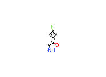 N=CC(=O)[C@]12C[C@@](F)(C1)C2